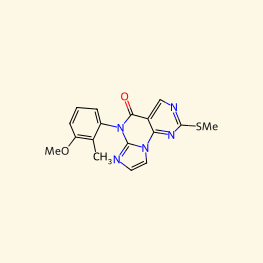 COc1cccc(-n2c(=O)c3cnc(SC)nc3n3ccnc23)c1C